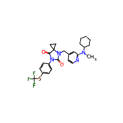 CN(c1cc(CN2C(=O)N(c3ccc(SC(F)(F)F)cc3)C(=O)C23CC3)ccn1)C1CCCCC1